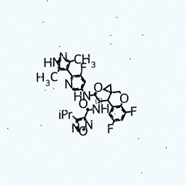 Cc1n[nH]c(C)c1-c1ncc(NC(=O)[C@@H](NC(=O)c2nonc2C(C)C)C2c3cc(F)cc(F)c3OCC23CC3)cc1F